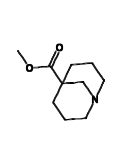 COC(=O)C12CCCN(CCC1)C2